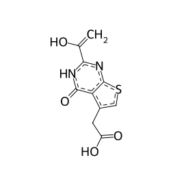 C=C(O)c1nc2scc(CC(=O)O)c2c(=O)[nH]1